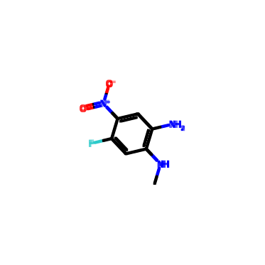 CNc1cc(F)c([N+](=O)[O-])cc1N